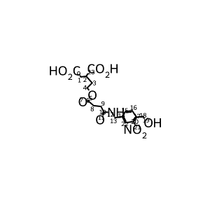 O=C(O)CC(CCOC(=O)CCC(=O)NCc1ccc(CO)c([N+](=O)[O-])c1)C(=O)O